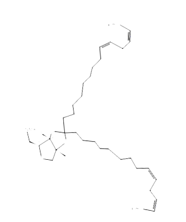 CCCCC/C=C\C/C=C\CCCCCCCCC1(CCCCCCCC/C=C\C/C=C\CCCCC)O[C@H]2[C@H](CNC)OC[C@H]2O1